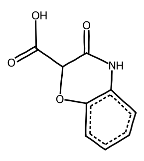 O=C(O)C1Oc2ccccc2NC1=O